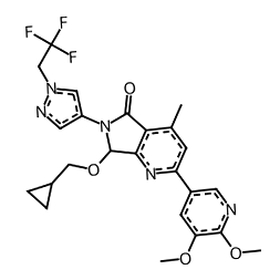 COc1cc(-c2cc(C)c3c(n2)C(OCC2CC2)N(c2cnn(CC(F)(F)F)c2)C3=O)cnc1OC